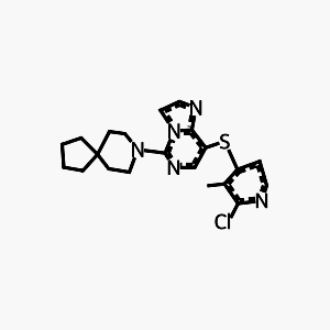 Cc1c(Sc2cnc(N3CCC4(CCCC4)CC3)n3ccnc23)ccnc1Cl